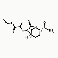 CCOC(=O)C(F)ON1C(=O)N2C[C@H]1CC[C@H]2C(N)=O